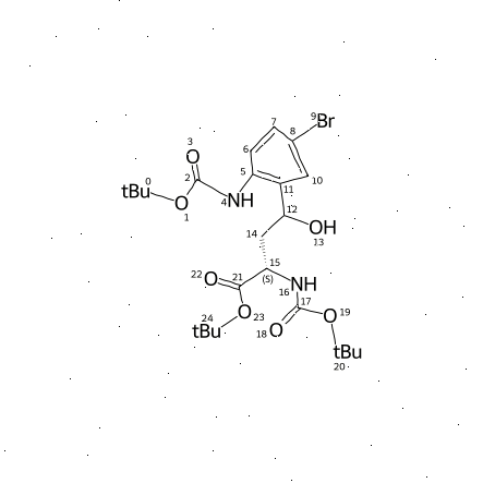 CC(C)(C)OC(=O)Nc1ccc(Br)cc1C(O)C[C@H](NC(=O)OC(C)(C)C)C(=O)OC(C)(C)C